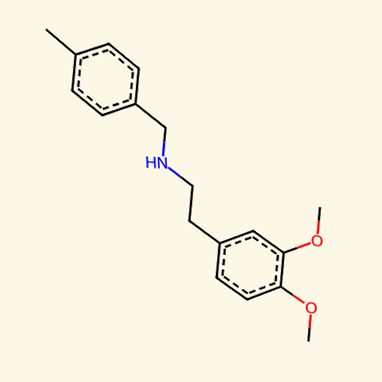 COc1ccc(CCNCc2ccc(C)cc2)cc1OC